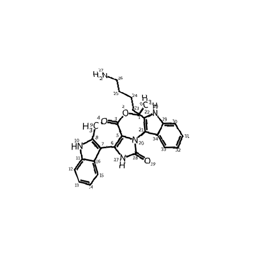 CCOC(=O)c1c(-c2c(C)[nH]c3ccccc23)[nH]c(=O)n1-c1c(CCCCN)[nH]c2ccccc12